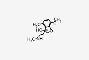 CNCC[C@@]1(O)COc2c(OC)ccc(C)c21